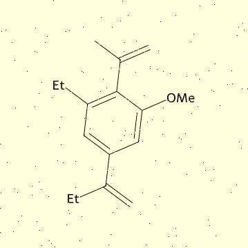 C=C(CC)c1cc(CC)c(C(=C)C)c(OC)c1